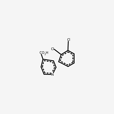 Clc1ccccc1Cl.O=C(O)c1ccncc1